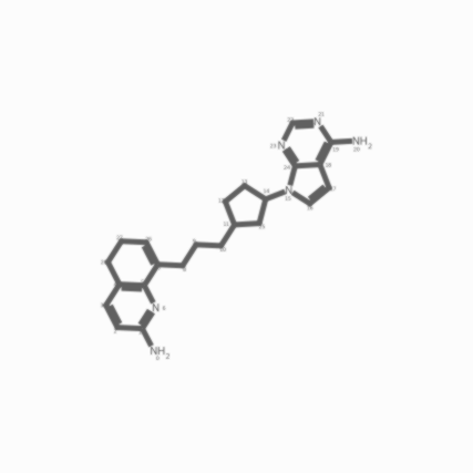 Nc1ccc2c(n1)C(CCCC1CCC(n3ccc4c(N)ncnc43)C1)=CCC2